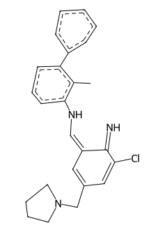 Cc1c(N/C=C2/C=C(CN3CCCC3)C=C(Cl)C2=N)cccc1-c1ccccc1